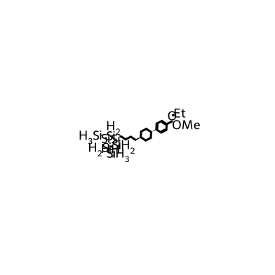 CCOC(OC)c1ccc([C@H]2CC[C@H](CCCC[SiH]([SiH2][SiH2][SiH3])[SiH2][SiH2][SiH3])CC2)cc1